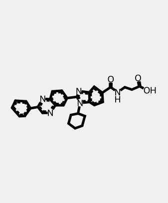 O=C(O)CCNC(=O)c1ccc2c(c1)nc(-c1ccc3nc(-c4ccccc4)cnc3c1)n2C1CCCCC1